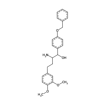 COc1ccc(CCC(N)C(O)c2ccc(OCc3ccccc3)cc2)cc1OC